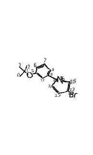 CC(C)(C)Oc1cccc(-c2ccc(Br)cn2)c1